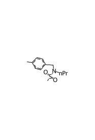 CCCN(Cc1ccc(C)cc1)S(C)(=O)=O